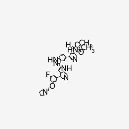 CC(C)(C)C(=O)Nc1cncc(-c2ccc3[nH]nc(-c4cc5c(-c6cc(F)cc(OCCN7CCCC7)c6)cncc5[nH]4)c3c2)c1